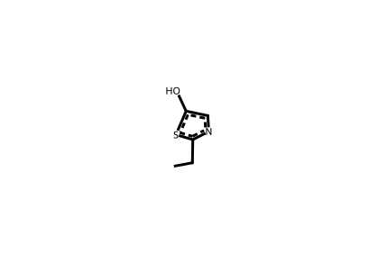 CCc1ncc(O)s1